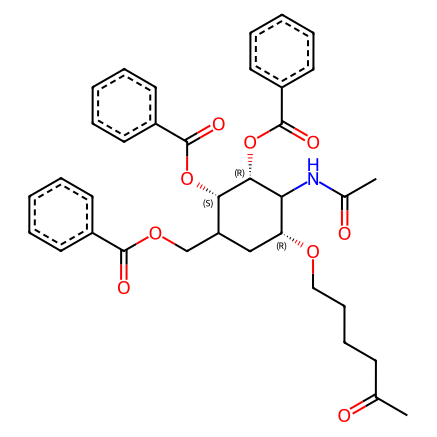 CC(=O)CCCCO[C@@H]1CC(COC(=O)c2ccccc2)[C@H](OC(=O)c2ccccc2)[C@H](OC(=O)c2ccccc2)C1NC(C)=O